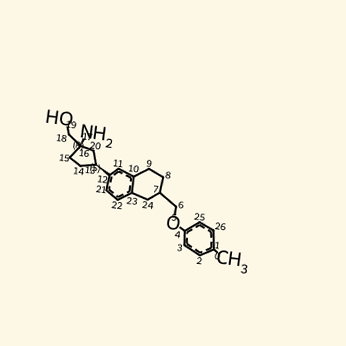 Cc1ccc(OCC2CCc3cc([C@H]4CC[C@](N)(CO)C4)ccc3C2)cc1